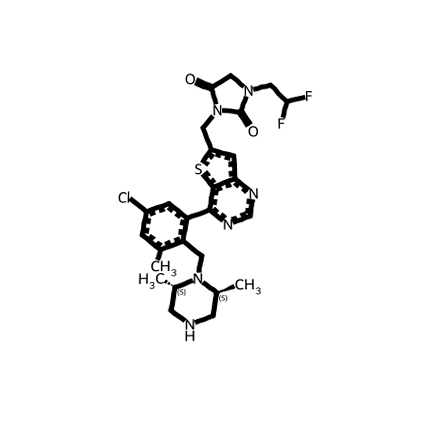 Cc1cc(Cl)cc(-c2ncnc3cc(CN4C(=O)CN(CC(F)F)C4=O)sc23)c1CN1[C@@H](C)CNC[C@@H]1C